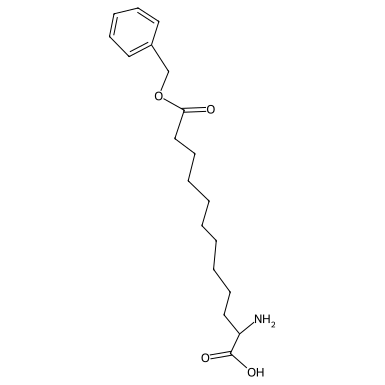 NC(CCCCCCCCCC(=O)OCc1ccccc1)C(=O)O